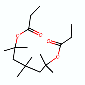 CCC(=O)OC(C)(C)CC(C)(C)CC(C)(C)OC(=O)CC